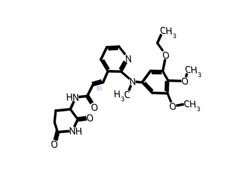 CCOc1cc(N(C)c2ncccc2/C=C/C(=O)NC2CCC(=O)NC2=O)cc(OC)c1OC